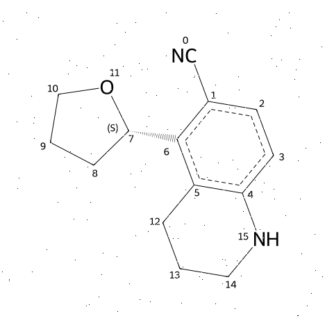 N#Cc1ccc2c(c1[C@@H]1CCCO1)CCCN2